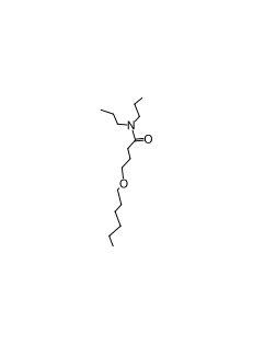 CCCCCCOCCCC(=O)N(CCC)CCC